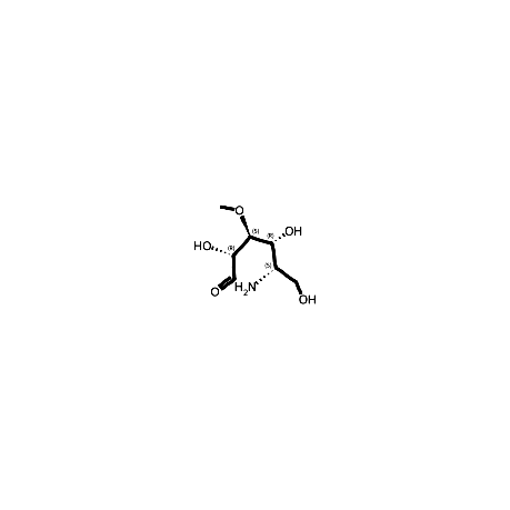 CO[C@@H]([C@H](O)[C@@H](N)CO)[C@@H](O)C=O